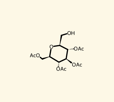 CC(=O)OC[C@H]1O[C@@H](CO)[C@H](OC(C)=O)[C@@H](OC(C)=O)[C@@H]1OC(C)=O